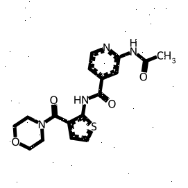 CC(=O)Nc1cc(C(=O)Nc2sccc2C(=O)N2CCOCC2)ccn1